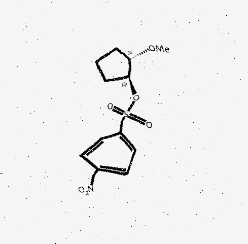 CO[C@H]1CCC[C@@H]1OS(=O)(=O)c1ccc([N+](=O)[O-])cc1